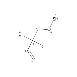 C=CC(C)(CC)COS